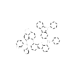 c1ccc(N(c2ccc3c4ccccc4n(-c4ccccc4)c3c2)c2cccc3c2oc2c4c(ccc23)C2(c3cccnc3-c3ncccc32)c2ccc3c5c(ccc-4c25)CC3)cc1